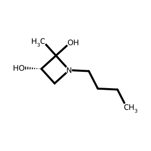 CCCCN1C[C@H](O)C1(C)O